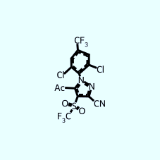 CC(=O)c1c(S(=O)(=O)C(F)(F)F)c(C#N)nn1-c1c(Cl)cc(C(F)(F)F)cc1Cl